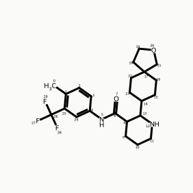 Cc1ccc(NC(=O)C2CCCNC2C2CCC3(CCOC3)CC2)cc1C(F)(F)F